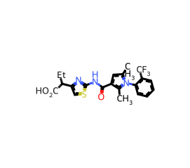 CCC(C(=O)O)c1csc(NC(=O)c2cc(C)n(-c3ccccc3C(F)(F)F)c2C)n1